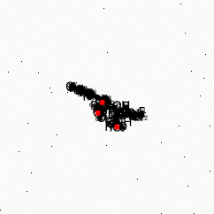 COC(=O)N[C@H](C(=O)NN(Cc1c(F)cc(-c2ccn(C(F)F)n2)cc1F)C[C@H](O)[C@H](Cc1ccc(C#Cc2ccc(N3CCN(C4COC4)CC3)nc2)cc1)NC[C@@H](NC(=O)OC)C(C)(C)C(F)(F)F)C(C)(C)C(F)(F)F